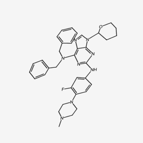 CN1CCN(c2ccc(Nc3nc(N(Cc4ccccc4)Cc4ccccc4)c4ncn(C5CCCCO5)c4n3)cc2F)CC1